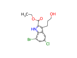 CCOC(=O)c1[nH]c2c(Br)cc(Cl)cc2c1CCCO